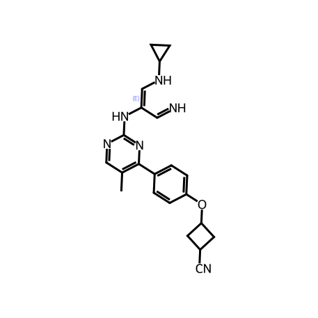 Cc1cnc(N/C(C=N)=C/NC2CC2)nc1-c1ccc(OC2CC(C#N)C2)cc1